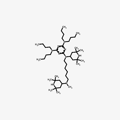 CCCCN(CCCC)c1nc(N(CCCC)CCCC)nc(N(CCCCCCN(C)C2CC(C)(C)NC(C)(C)C2)C2CC(C)(C)NC(C)(C)C2)n1